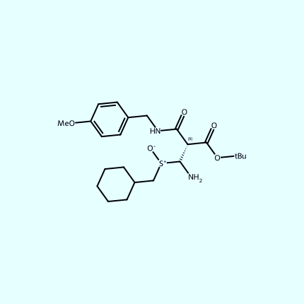 COc1ccc(CNC(=O)[C@H](C(=O)OC(C)(C)C)C(N)[S+]([O-])CC2CCCCC2)cc1